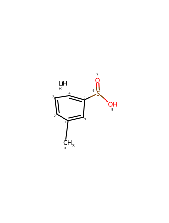 Cc1cccc(S(=O)O)c1.[LiH]